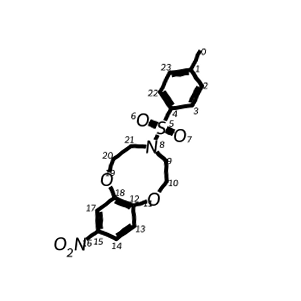 Cc1ccc(S(=O)(=O)N2CCOc3ccc([N+](=O)[O-])cc3OCC2)cc1